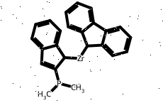 CP(C)C1=Cc2ccccc2[CH]1[Zr][CH]1c2ccccc2-c2ccccc21